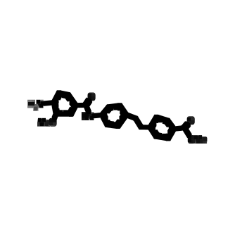 COC(=O)c1ccc(CCc2ccc(NC(=O)c3ccc(N)c(OC)c3)cc2)cc1